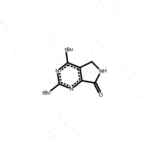 CC(C)(C)c1nc2c(c(C(C)(C)C)n1)CNC2=O